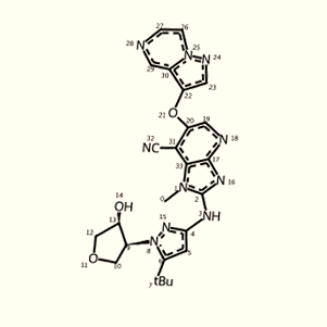 Cn1c(Nc2cc(C(C)(C)C)n([C@H]3COC[C@H]3O)n2)nc2ncc(Oc3cnn4ccncc34)c(C#N)c21